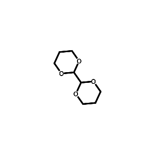 C1COC(C2OCCCO2)OC1